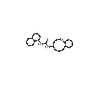 S=C(Nc1cccc2ccccc2occ1)Nc1cccc2ccccc12